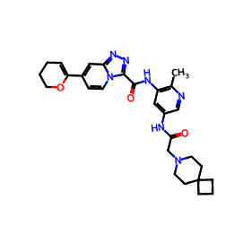 Cc1ncc(NC(=O)CN2CCC3(CCC3)CC2)cc1NC(=O)c1nnc2cc(C3=CCCCO3)ccn12